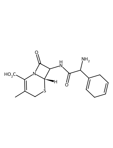 CC1=C(C(=O)O)N2C(=O)C(NC(=O)C(N)C3=CCC=CC3)[C@@H]2SC1